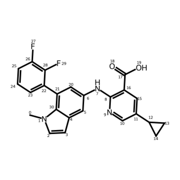 Cn1ccc2cc(Nc3ncc(C4CC4)cc3C(=O)O)cc(-c3cccc(F)c3F)c21